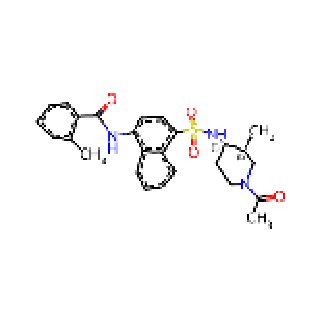 CC(=O)N1CC[C@H](NS(=O)(=O)c2ccc(NC(=O)c3ccccc3C)c3ccccc23)[C@@H](C)C1